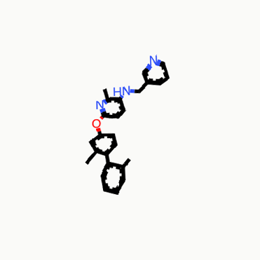 Cc1ccccc1-c1ccc(Oc2ccc(NCc3cccnc3)c(C)n2)cc1C